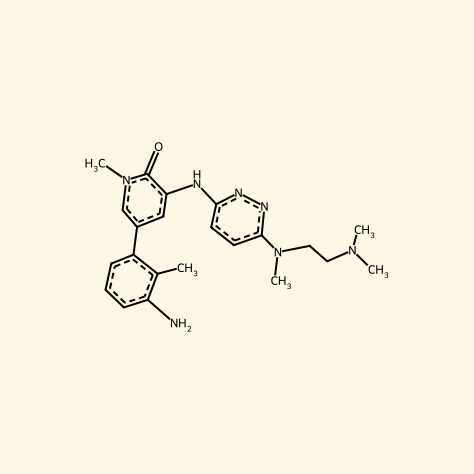 Cc1c(N)cccc1-c1cc(Nc2ccc(N(C)CCN(C)C)nn2)c(=O)n(C)c1